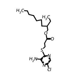 CCCCCCCC(CC)COC(=O)CCSc1ncc(Cl)nc1N